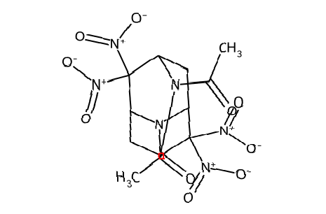 CC(=O)N1C2CC3N(C(C)=O)C(CC1C3([N+](=O)[O-])[N+](=O)[O-])C2([N+](=O)[O-])[N+](=O)[O-]